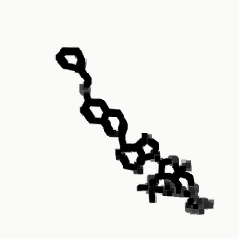 CC(C)(C)[Si](C)(C)O[C@@H]1[C@@H]2O[Si](C(C)(C)C)(C(C)(C)C)OC[C@H]2O[C@H]1n1cnc2c(-c3ccc4cc(OCc5ccccc5)ccc4c3)ncnc21